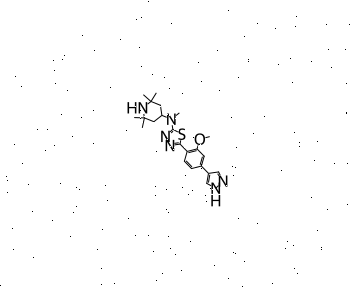 COc1cc(-c2cn[nH]c2)ccc1-c1nnc(N(C)C2CC(C)(C)NC(C)(C)C2)s1